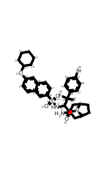 NC1CC2CCC(C1)N2C(=O)C(NS(=O)(=O)c1ccc2cc(OC3CCCCC3)ccc2c1)C(F)(F)c1ccc(Br)cc1